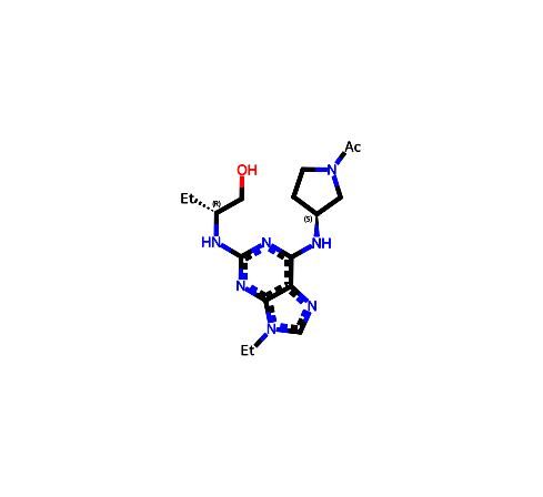 CC[C@H](CO)Nc1nc(N[C@H]2CCN(C(C)=O)C2)c2ncn(CC)c2n1